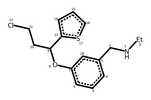 CCNCc1cccc(OC(CCCl)c2cccs2)c1